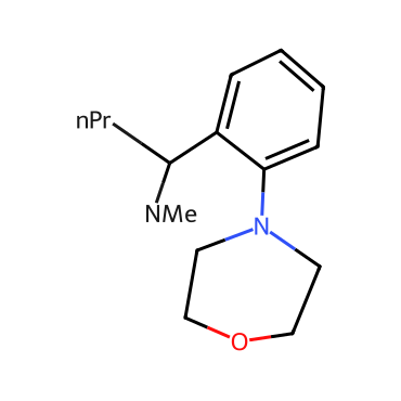 CCCC(NC)c1ccccc1N1CCOCC1